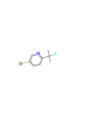 CC(C)(F)c1ccc(Br)cn1